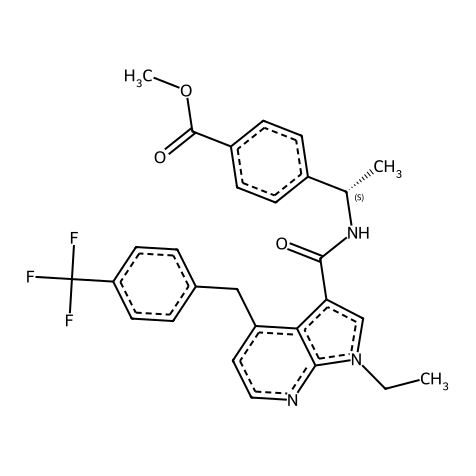 CCn1cc(C(=O)N[C@@H](C)c2ccc(C(=O)OC)cc2)c2c(Cc3ccc(C(F)(F)F)cc3)ccnc21